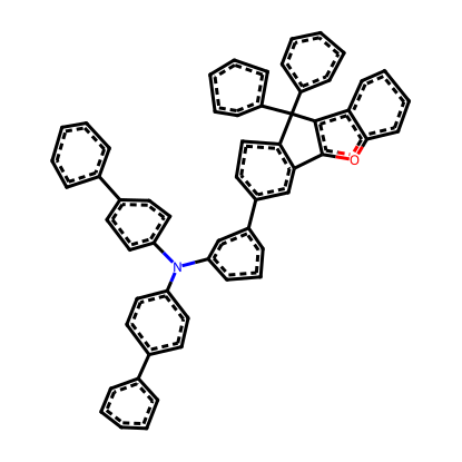 c1ccc(-c2ccc(N(c3ccc(-c4ccccc4)cc3)c3cccc(-c4ccc5c(c4)-c4oc6ccccc6c4C5(c4ccccc4)c4ccccc4)c3)cc2)cc1